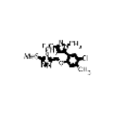 CSc1nnc(COc2cc(C)c(Cl)cc2-c2cc(C(F)(F)F)nn2C)n1C